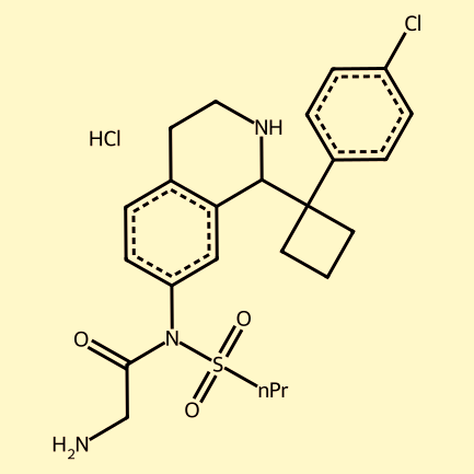 CCCS(=O)(=O)N(C(=O)CN)c1ccc2c(c1)C(C1(c3ccc(Cl)cc3)CCC1)NCC2.Cl